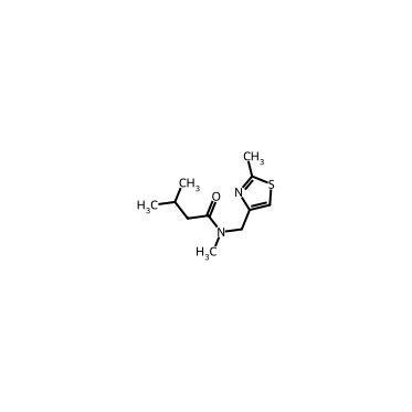 Cc1nc(CN(C)C(=O)CC(C)C)cs1